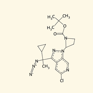 CC(C)(C)OC(=O)N1CCC1n1nc(C(C)(N=[N+]=[N-])C2CC2)c2cc(Cl)ncc21